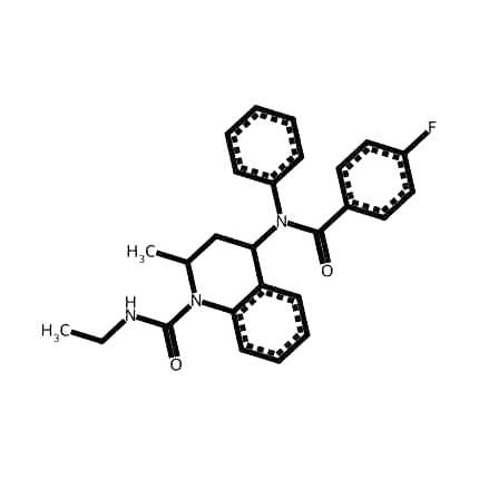 CCNC(=O)N1c2ccccc2C(N(C(=O)c2ccc(F)cc2)c2ccccc2)CC1C